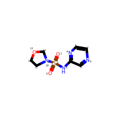 O=S(=O)(Nc1cnccn1)N1CCOC1